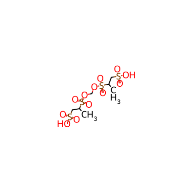 CC(CS(=O)(=O)O)S(=O)(=O)OCOS(=O)(=O)C(C)CS(=O)(=O)O